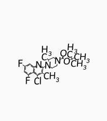 Cc1c(N2CCN(C(=O)OC(C)(C)C)C[C@@H]2C)nc2cc(F)cc(F)c2c1Cl